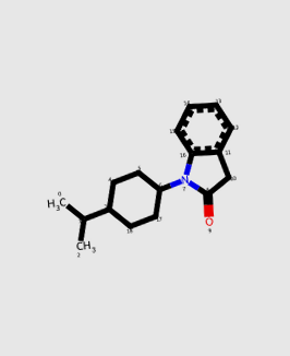 CC(C)C1CCC(N2C(=O)Cc3ccccc32)CC1